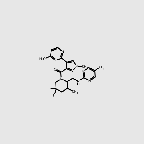 Cc1ccnc(-c2cn(C)nc2C(=O)N2CC(F)(F)CC(C)C2CNc2ncc(C(F)(F)F)cn2)n1